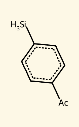 CC(=O)c1ccc([SiH3])cc1